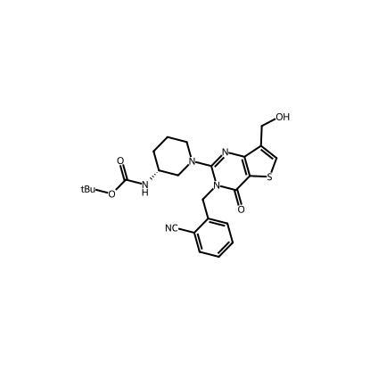 CC(C)(C)OC(=O)N[C@@H]1CCCN(c2nc3c(CO)csc3c(=O)n2Cc2ccccc2C#N)C1